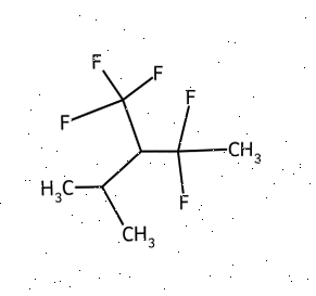 CC(C)C(C(C)(F)F)C(F)(F)F